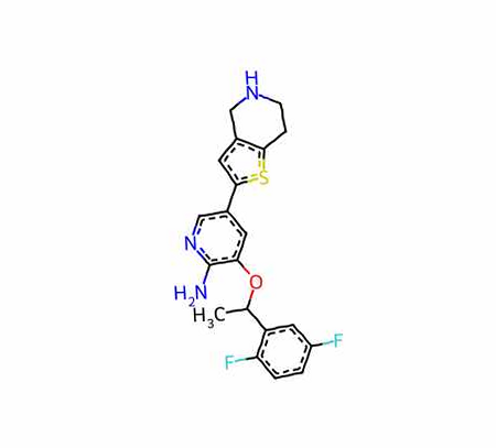 CC(Oc1cc(-c2cc3c(s2)CCNC3)cnc1N)c1cc(F)ccc1F